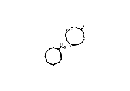 CC1CCCCC[C@H](BBC2CCCCCCCCCC2)CCOCC1